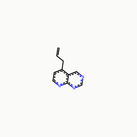 C=CCc1ccnc2ncncc12